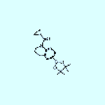 CC1(C)OB(c2ccc3c(c2)CCCN3C(=O)C2CC2)OC1(C)C